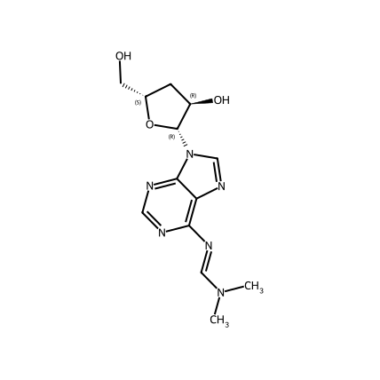 CN(C)C=Nc1ncnc2c1ncn2[C@@H]1O[C@H](CO)C[C@H]1O